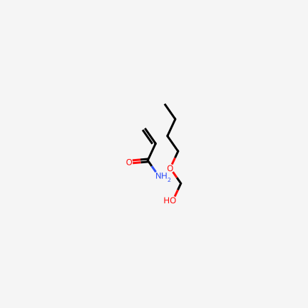 C=CC(N)=O.CCCCOCO